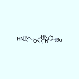 Cc1cc(OCCCN2CCNCC2C)ccc1-c1nc2cc(C(C)(C)C)ccc2[nH]1